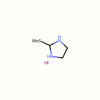 CSC1NCCN1.I